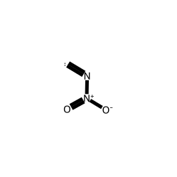 [C]=N[N+](=O)[O-]